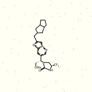 COC[C@H](c1cnn2cc(CC3CC4CCCC4C3)nc2c1)N1C[C@@H](C(F)(F)F)NC1=O